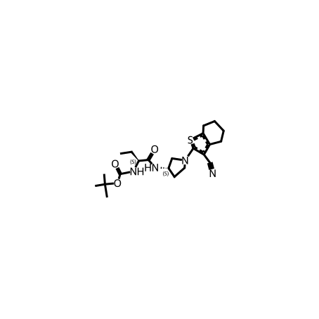 CC[C@H](NC(=O)OC(C)(C)C)C(=O)N[C@H]1CCN(c2sc3c(c2C#N)CCCC3)C1